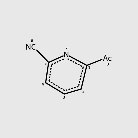 CC(=O)c1cccc(C#N)n1